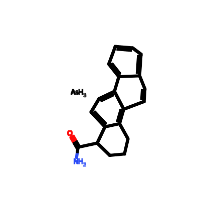 NC(=O)C1CCCc2c1ccc1c2ccc2ccccc21.[AsH3]